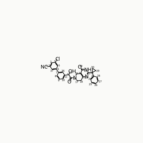 N#Cc1cc(Cl)cc(-c2cccc(C(O)C(=O)N3CCc4nc(C5(c6ccccc6)CC5)[nH]c(=O)c4C3)c2)c1